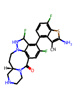 N#Cc1c(N)sc2c(F)ccc(-c3c(F)cc4c5c3C(F)NN5CC[C@H]3CNCCN3C4=O)c12